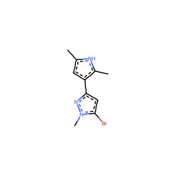 Cc1cc(-c2cc(Br)n(C)n2)c(C)[nH]1